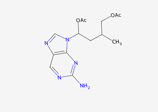 CC(=O)OCC(C)CC(OC(C)=O)n1cnc2cnc(N)nc21